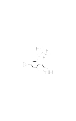 Cc1cc(Br)cc(C)c1C=C1CNC1.O=C(O)C(F)(F)F